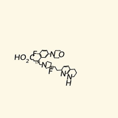 O=C(O)C[C@H](CN1CC[C@@](F)(CCc2ccc3c(n2)NCCC3)C1)c1cc(N2CCOCC2)ccc1F